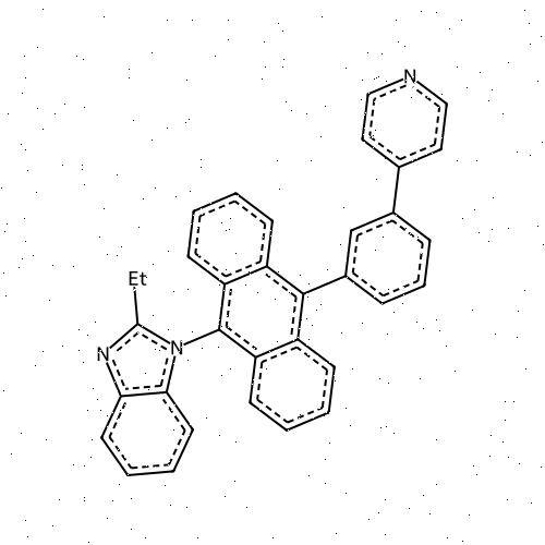 CCc1nc2ccccc2n1-c1c2ccccc2c(-c2cccc(-c3ccncc3)c2)c2ccccc12